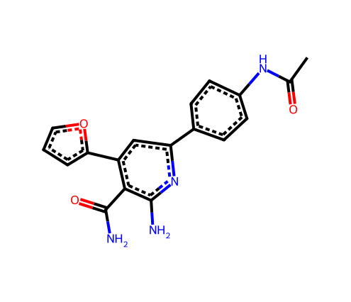 CC(=O)Nc1ccc(-c2cc(-c3ccco3)c(C(N)=O)c(N)n2)cc1